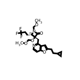 COCO[C@@]1(Cc2nccc3oc(CCC4CC4)cc23)C(=O)N(COC)[C@H]1CCC(F)(F)F